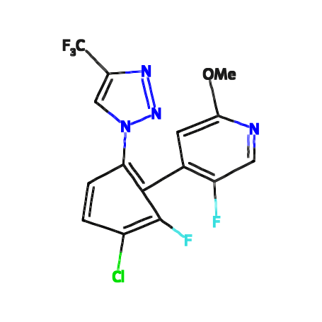 COc1cc(-c2c(-n3cc(C(F)(F)F)nn3)ccc(Cl)c2F)c(F)cn1